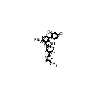 CCNc1ncc(-c2ccc(Cl)cc2Cl)c(Nc2ncc(-c3nc(C)c[nH]3)cn2)c1C#N